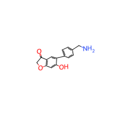 NCc1ccc(-c2cc3c(cc2O)OCC3=O)cc1